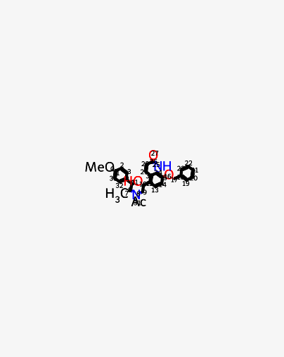 COc1ccc(C[C@H](C)N(C[C@H](O)c2ccc(OCc3ccccc3)c3[nH]c(=O)ccc23)C(C)=O)cc1